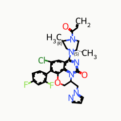 C=CC(=O)N1C[C@H](C)N(c2nc(=O)n3c4c(c(-c5ccc(F)cc5F)c(Cl)cc24)OCC3Cn2cccn2)C[C@H]1C